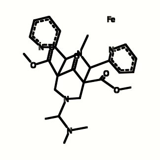 COC(=O)C12CN(C(C)N(C)C)CC(C(=O)OC)(C1=O)C(c1ccccn1)N(C)C2c1ccccn1.[Fe]